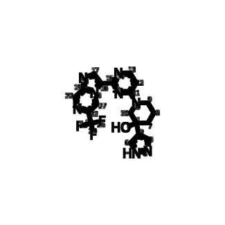 OC1(c2cn[nH]c2)CCCN(c2ccnc(-c3cnc4cnc(C(F)(F)F)cn34)n2)C1